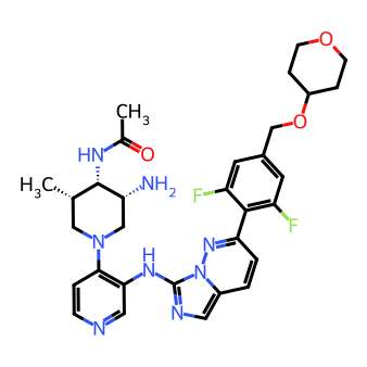 CC(=O)N[C@@H]1[C@H](N)CN(c2ccncc2Nc2ncc3ccc(-c4c(F)cc(COC5CCOCC5)cc4F)nn23)C[C@@H]1C